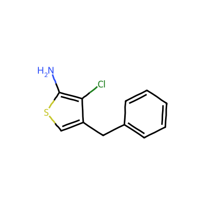 Nc1scc(Cc2ccccc2)c1Cl